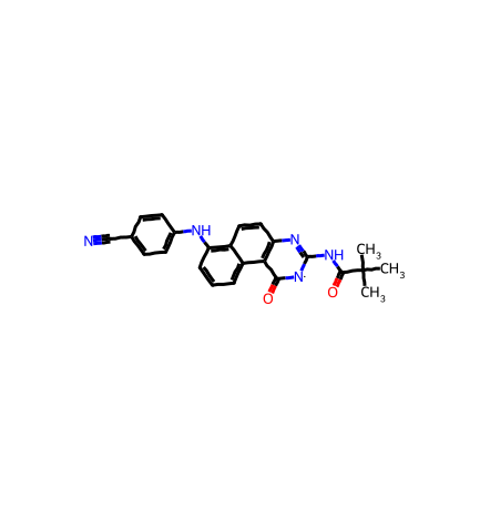 CC(C)(C)C(=O)NC1=Nc2ccc3c(Nc4ccc(C#N)cc4)cccc3c2C(=O)[N]1